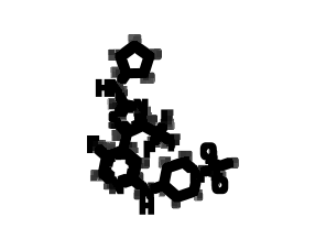 CS(=O)(=O)N1CCC(Nc2cc(-c3sc(NC4CCCC4)nc3C(F)(F)F)c(F)cn2)CC1